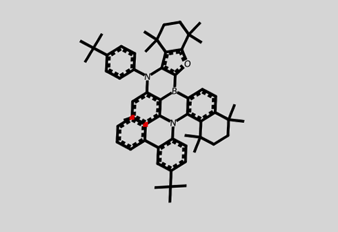 Cc1cc2c3c(c1)N(c1ccc(C(C)(C)C)cc1-c1ccccc1)c1c(ccc4c1C(C)(C)CCC4(C)C)B3c1oc3c(c1N2c1ccc(C(C)(C)C)cc1)C(C)(C)CCC3(C)C